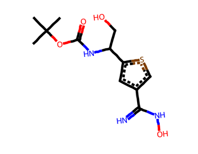 CC(C)(C)OC(=O)NC(CO)c1cc(C(=N)NO)cs1